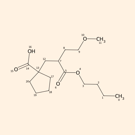 CCCCOC(=O)C(CCOC)CC1(C(=O)O)CCCC1